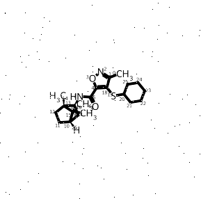 Cc1noc(C(=O)N[C@H]2C[C@@H]3CC[C@@]2(C)C3(C)C)c1SC1CCCCC1